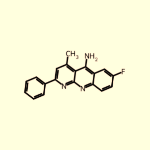 Cc1cc(-c2ccccc2)nc2nc3ccc(F)cc3c(N)c12